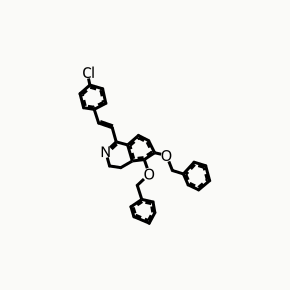 Clc1ccc(/C=C/C2=NCCc3c2ccc(OCc2ccccc2)c3OCc2ccccc2)cc1